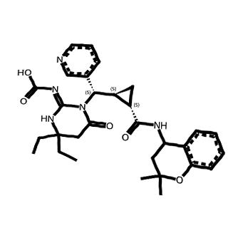 CCC1(CC)CC(=O)N([C@H](c2cccnc2)[C@H]2C[C@@H]2C(=O)NC2CC(C)(C)Oc3ccccc32)C(=NC(=O)O)N1